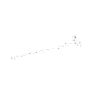 C[Si](C)(C)O[Si](C)(CCCOCCOCCOCCOCCOCCOCCOCCO)O[Si](C)(C)C